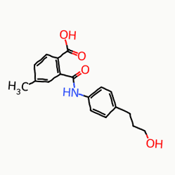 Cc1ccc(C(=O)O)c(C(=O)Nc2ccc(CCCO)cc2)c1